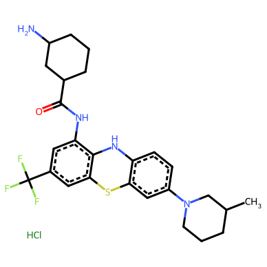 CC1CCCN(c2ccc3c(c2)Sc2cc(C(F)(F)F)cc(NC(=O)C4CCCC(N)C4)c2N3)C1.Cl